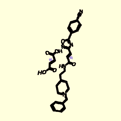 N#Cc1ccc(-c2nc(/C=C/C(=O)NCCC3CCN(Cc4ccccc4)CC3)no2)cc1.O=C(O)/C=C/C(=O)O